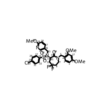 COc1ccc(CN2CCC(F)(F)C[C@@H](N(Cc3ccc(OC)nc3)S(=O)(=O)c3ccc(Cl)cc3)C2=O)c(OC)c1